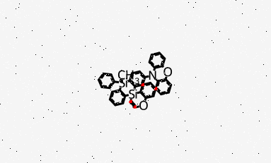 C[Si]1(c2ccccc2)c2ccccc2[Si]2(c3ccccc3Oc3ccccc32)c2cc(N3c4ccccc4Oc4ccccc43)ccc21